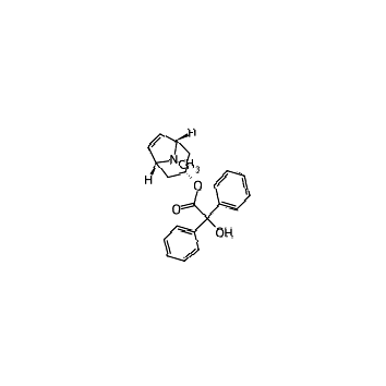 CN1[C@@H]2C=C[C@H]1C[C@@H](OC(=O)C(O)(c1ccccc1)c1ccccc1)C2